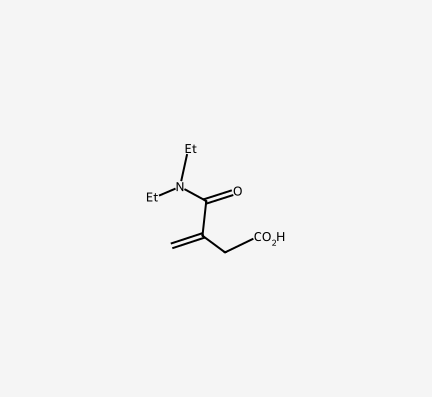 C=C(CC(=O)O)C(=O)N(CC)CC